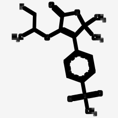 CC(CF)OC1=C(c2ccc(S(C)(=O)=O)cc2)C(C)(C)OC1=O